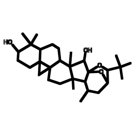 CC1CC2OC3(OC2C(C)(C)C)C1C1(C)CCC24CC25CCC(O)C(C)(C)C5CCC4C1(C)C3O